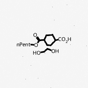 CCCCCOC(=O)C1CCC(C(=O)O)CC1.OCCO